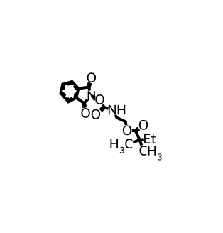 CCC(C)(C)C(=O)OCCNC(=O)ON1C(=O)c2ccccc2C1=O